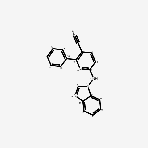 N#Cc1ccc(Nn2cnc3ccccc32)nc1-c1cc[c]cc1